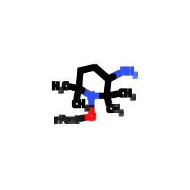 CCCCCON1C(C)(C)CCC(N)C1(C)C